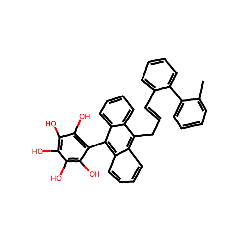 Cc1ccccc1-c1ccccc1C=CCc1c2ccccc2c(-c2c(O)c(O)c(O)c(O)c2O)c2ccccc12